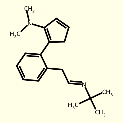 CN(C)C1=C(c2ccccc2CC=NC(C)(C)C)CC=C1